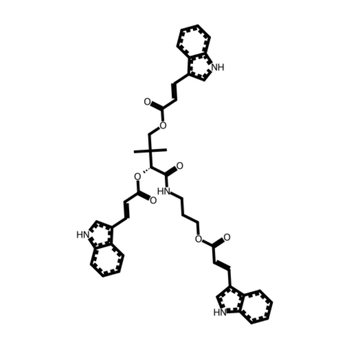 CC(C)(COC(=O)/C=C/c1c[nH]c2ccccc12)[C@@H](OC(=O)/C=C/c1c[nH]c2ccccc12)C(=O)NCCCOC(=O)/C=C/c1c[nH]c2ccccc12